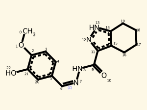 COc1ccc(/C=N\NC(=O)c2n[nH]c3c2CCCC3)cc1O